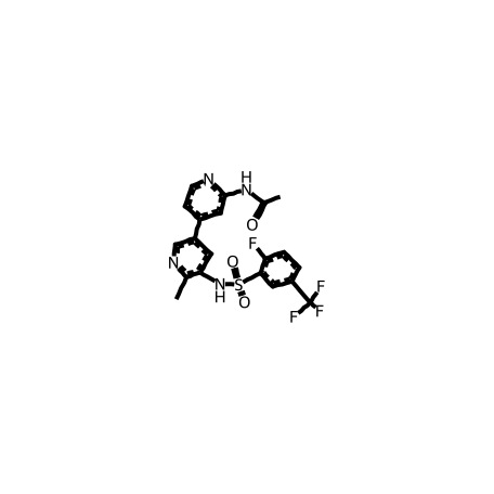 CC(=O)Nc1cc(-c2cnc(C)c(NS(=O)(=O)c3cc(C(F)(F)F)ccc3F)c2)ccn1